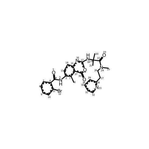 Cc1c(NC(=O)c2ccccc2Br)ccc2nc(NC(C)(C)C(=O)N(C)CCc3ccccn3)oc(=O)c12